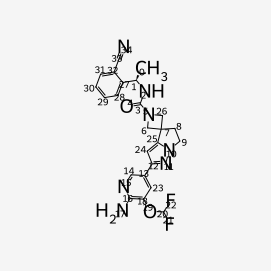 C[C@@H](NC(=O)N1CC2(CCn3nc(-c4cnc(N)c(OC(F)F)c4)cc32)C1)c1ccccc1C#N